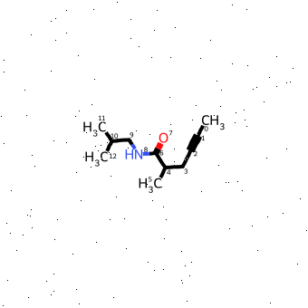 CC#CCC(C)C(=O)NCC(C)C